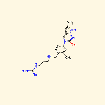 Cc1cc2cn(-c3ccc(CNCCCNC(=N)N)c(C)c3)c(=O)nc2[nH]1